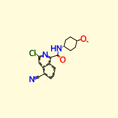 CO[C@H]1CC[C@H](NC(=O)c2nc(Cl)cc3c(C#N)cccc23)CC1